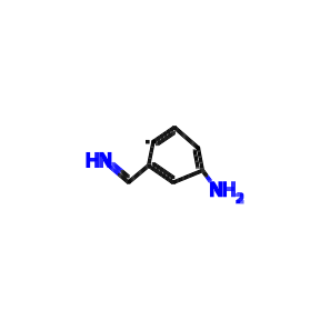 N=Cc1[c]ccc(N)c1